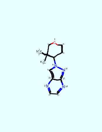 CC1(C)COCCC1n1cc2nccnc2n1